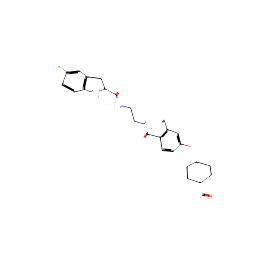 Cc1cc(O[C@H]2CC[C@@H](C(=O)O)CC2)ccc1C(=O)NCCNC(=O)C1Cc2cc(Cl)ccc2N1